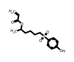 C=CC(=O)OC(C)CCCCS(=O)(=O)c1ccc(O)cc1